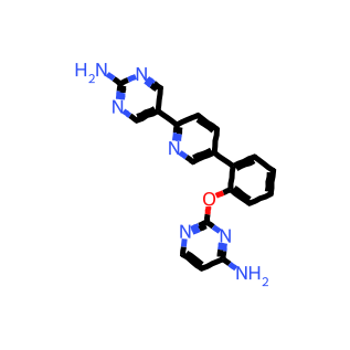 Nc1ccnc(Oc2ccccc2-c2ccc(-c3cnc(N)nc3)nc2)n1